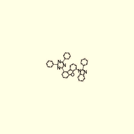 c1ccc(-c2nc(-c3ccccc3)nc(-c3cccc4oc5c(-n6c(-c7ccccc7)nc7ccccc76)cccc5c34)n2)cc1